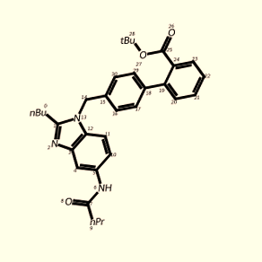 CCCCc1nc2cc(NC(=O)CCC)ccc2n1Cc1ccc(-c2ccccc2C(=O)OC(C)(C)C)cc1